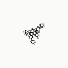 c1ccc(B2c3ccc(-c4ccccc4)cc3N3c4ccccc4B(c4ccc(-c5ccccc5)cc4)c4cccc2c43)cc1